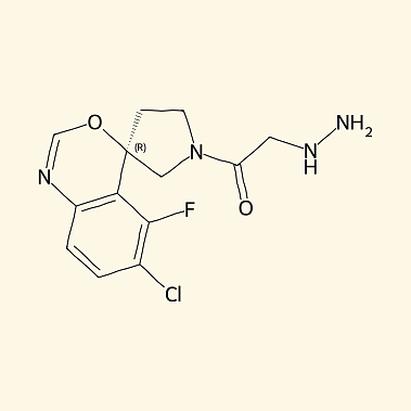 NNCC(=O)N1CC[C@@]2(C1)OC=Nc1ccc(Cl)c(F)c12